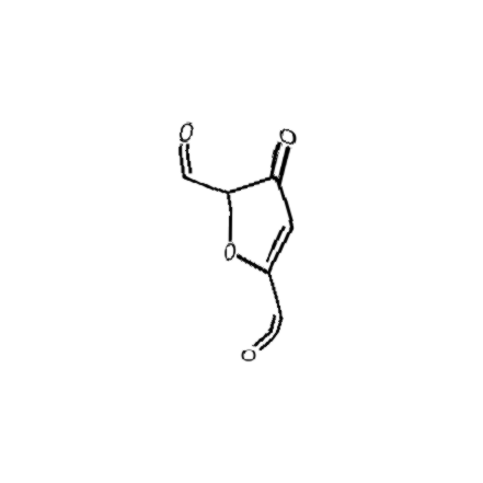 O=CC1=CC(=O)C(C=O)O1